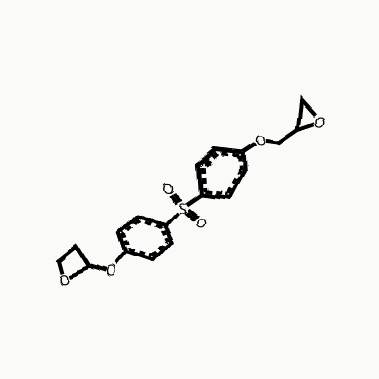 O=S(=O)(c1ccc(OCC2CO2)cc1)c1ccc(OC2CCO2)cc1